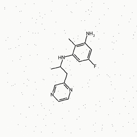 Cc1c(N)cc(F)cc1NC(C)Cc1cnccn1